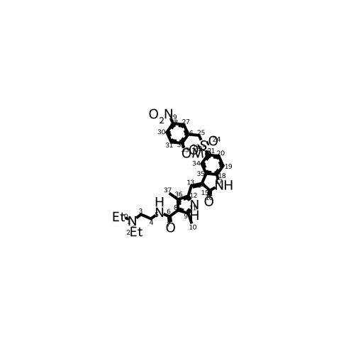 CCN(CC)CCNC(=O)c1c(C)[nH]c(/C=C2\C(=O)Nc3ccc(S(=O)(=O)Cc4cc([N+](=O)[O-])ccc4OC)cc32)c1C